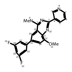 CNc1nc(-c2cccnc2)nc2c(OC)cc(-c3cc(F)cc(F)c3)cc12